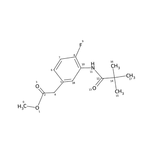 COC(=O)Cc1ccc(F)c(NC(=O)C(C)(C)C)c1